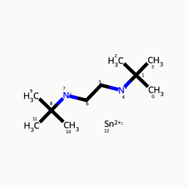 CC(C)(C)[N-]CC[N-]C(C)(C)C.[Sn+2]